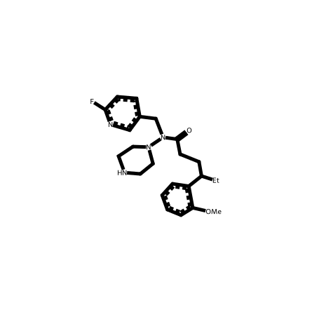 CCC(CCC(=O)N(Cc1ccc(F)nc1)N1CCNCC1)c1ccccc1OC